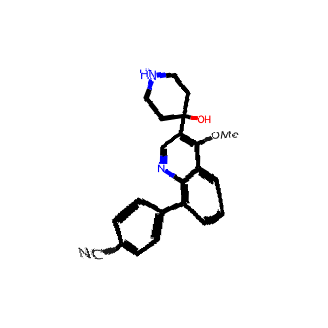 COc1c(C2(O)CCNCC2)cnc2c(-c3ccc(C#N)cc3)cccc12